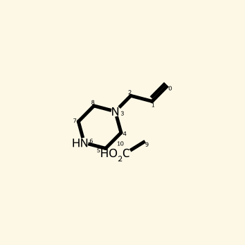 C=CCN1CCNCC1.CC(=O)O